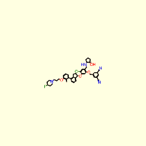 Cc1c(OCCCN2CCC(F)CC2)cccc1-c1cccc2c1CC[C@@H]2Oc1cc(OCc2cc(C#N)cc(C#N)c2)c(CN[C@H]2CCC[C@H]2O)cc1Cl